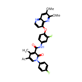 COc1cc2nccc(Oc3ccc(NC(=O)c4c(C)c(C(C)=O)cn(-c5ccc(F)cc5)c4=O)cc3F)c2nc1OC